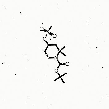 CC(C)(C)OC(=O)N1CCC(OS(C)(=O)=O)CC1(C)C